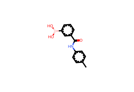 Cc1ccc(NC(=O)c2cccc(B(O)O)c2)cc1